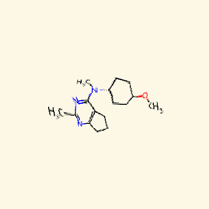 CO[C@H]1CC[C@H](N(C)c2nc(C)nc3c2CCC3)CC1